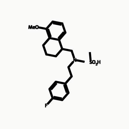 COc1cccc2c1CCCC2CN(C)CCc1ccc(F)cc1.CS(=O)(=O)O